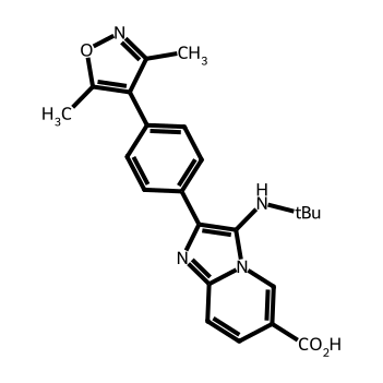 Cc1noc(C)c1-c1ccc(-c2nc3ccc(C(=O)O)cn3c2NC(C)(C)C)cc1